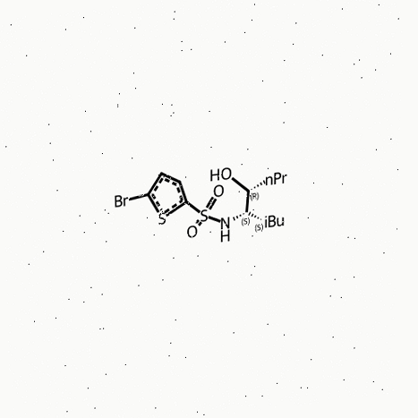 CCC[C@@H](O)[C@@H](NS(=O)(=O)c1ccc(Br)s1)[C@@H](C)CC